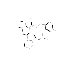 CN(C)CC(=O)N1CCCCC1c1nc(C(=O)NCc2ccc(F)cc2)c(CO)c(=O)[nH]1